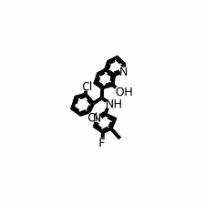 Cc1cc(NC(c2ccc3cccnc3c2O)c2c(Cl)cccc2Cl)ncc1F